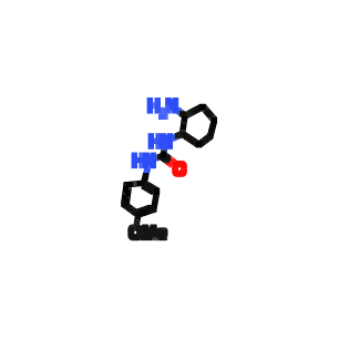 COc1ccc(NC(=O)NC2CCCCC2N)cc1